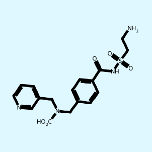 NCCS(=O)(=O)NC(=O)c1ccc(CN(Cc2cccnc2)C(=O)O)cc1